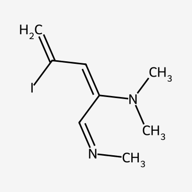 C=C(I)/C=C(\C=N/C)N(C)C